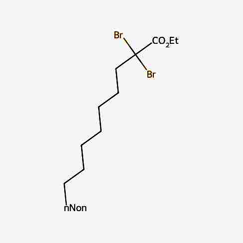 CCCCCCCCCCCCCCCCC(Br)(Br)C(=O)OCC